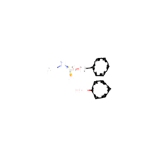 CC(=O)N=S(=O)=O.CNc1ccccc1.Oc1ccccc1